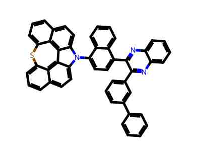 c1ccc(-c2cccc(-c3nc4ccccc4nc3-c3ccc(-n4c5ccc6cccc7sc8cccc9ccc4c(c98)c5c67)c4ccccc34)c2)cc1